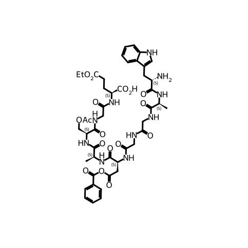 CCOC(=O)CC[C@H](NC(=O)CNC(=O)[C@H](COC(C)=O)NC(=O)[C@H](C)NC(=O)[C@H](CC(=O)OC(=O)c1ccccc1)NC(=O)CNC(=O)CNC(=O)[C@H](C)NC(=O)[C@@H](N)Cc1c[nH]c2ccccc12)C(=O)O